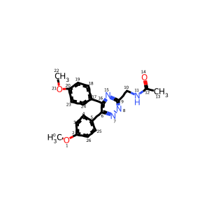 COc1ccc(-c2nnc(CNC(C)=O)nc2-c2ccc(OC)cc2)cc1